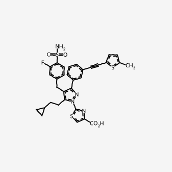 Cc1ccc(C#Cc2cccc(-c3nn(-c4nc(C(=O)O)cs4)c(CCC4CC4)c3Cc3ccc(S(N)(=O)=O)c(F)c3)c2)s1